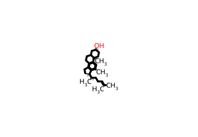 CC(C)=CCC[C@@H](C)[C@H]1CCc2c3c(cc(C)c21)[C@@]1(C)CC[C@H](O)CC1CC3